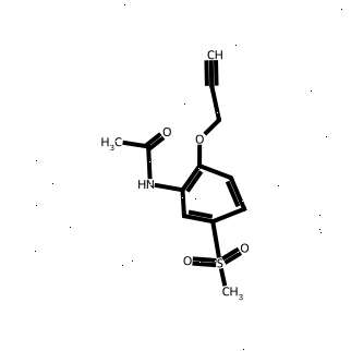 C#CCOc1ccc(S(C)(=O)=O)cc1NC(C)=O